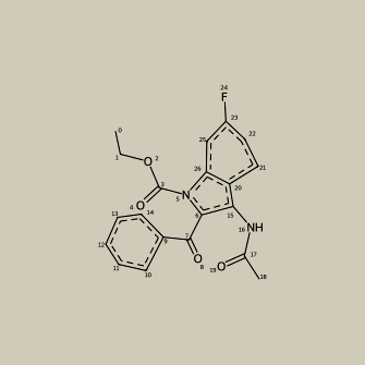 CCOC(=O)n1c(C(=O)c2ccccc2)c(NC(C)=O)c2ccc(F)cc21